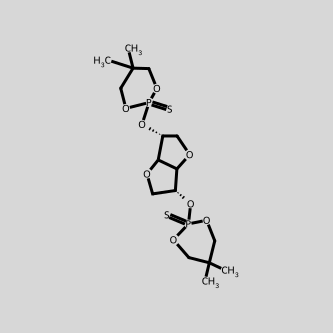 CC1(C)COP(=S)(O[C@@H]2COC3C2OC[C@H]3OP2(=S)OCC(C)(C)CO2)OC1